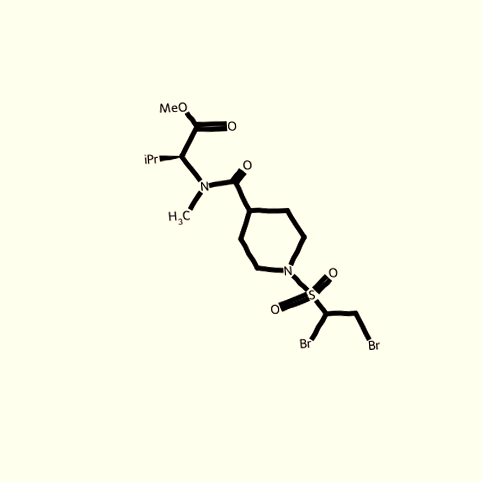 COC(=O)[C@H](C(C)C)N(C)C(=O)C1CCN(S(=O)(=O)C(Br)CBr)CC1